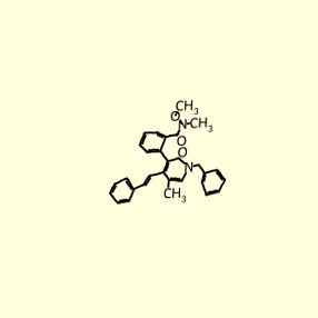 CON(C)C(=O)c1ccccc1-c1c(C=Cc2ccccc2)c(C)cn(Cc2ccccc2)c1=O